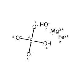 [Fe+2].[Mg+2].[O-][Si]([O-])([O-])O.[OH-]